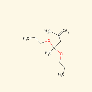 C=C(C)CC(C)(OCCC)OCCC